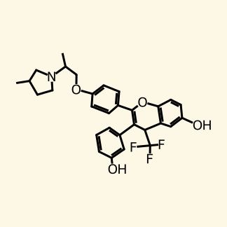 CC1CCN(C(C)COc2ccc(C3=C(c4cccc(O)c4)C(C(F)(F)F)c4cc(O)ccc4O3)cc2)C1